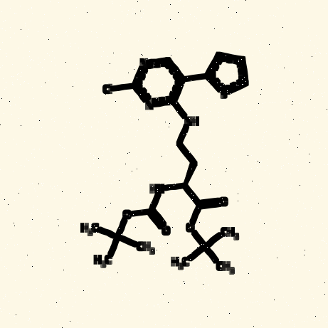 CC(C)(C)OC(=O)N[C@@H](CCNc1nc(Cl)ncc1-c1cccs1)C(=O)OC(C)(C)C